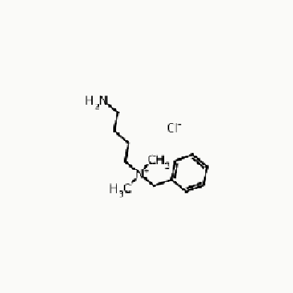 C[N+](C)(CCCCN)Cc1ccccc1.[Cl-]